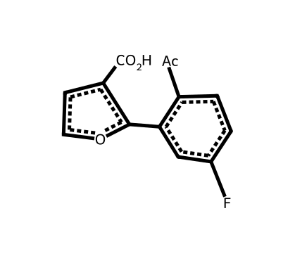 CC(=O)c1ccc(F)cc1-c1occc1C(=O)O